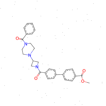 COC(=O)c1ccc(-c2ccc(C(=O)N3CC(N4CCN(C(=O)c5ccccc5)CC4)C3)cc2)cc1